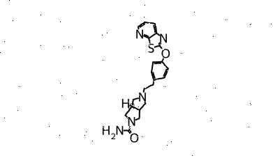 NC(=O)N1CC2CN(CCc3ccc(Oc4nc5cccnc5s4)cc3)C[C@H]2C1